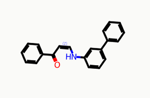 O=C(/C=C\Nc1cccc(-c2ccccc2)c1)c1ccccc1